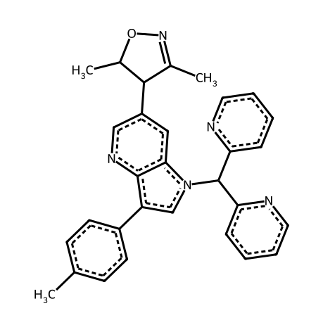 CC1=NOC(C)C1c1cnc2c(-c3ccc(C)cc3)cn(C(c3ccccn3)c3ccccn3)c2c1